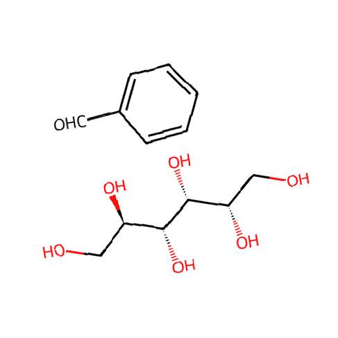 O=Cc1ccccc1.OC[C@@H](O)[C@@H](O)[C@H](O)[C@@H](O)CO